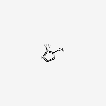 [CH2]n1nccc1C